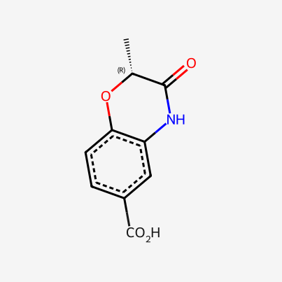 C[C@H]1Oc2ccc(C(=O)O)cc2NC1=O